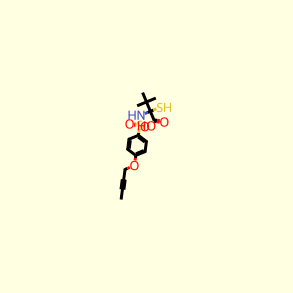 CC#CCOc1ccc(S(=O)(=O)NC(S)(C(=O)O)C(C)(C)C)cc1